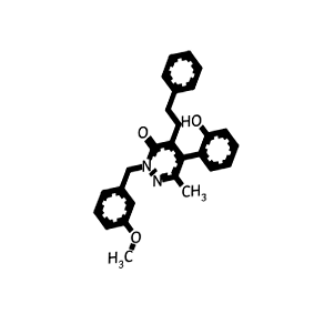 COc1cccc(Cn2nc(C)c(-c3ccccc3O)c(CCc3ccccc3)c2=O)c1